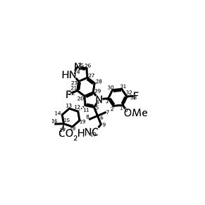 COc1cc(-n2c(C(C)(C)CC#N)c([C@H]3CC[C@](C)(C(=O)O)CC3)c3c(F)c4[nH]ncc4cc32)ccc1F